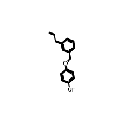 CCCc1cccc(COc2ccc(O)cc2)c1